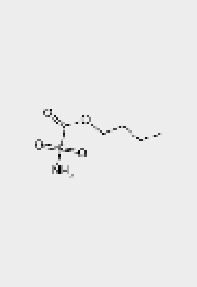 CCCCOC(=O)S(N)(=O)=O